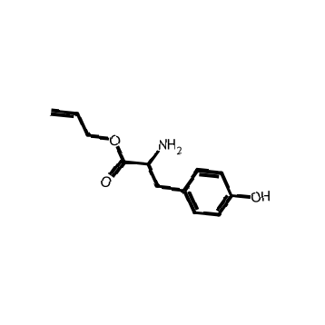 C=CCOC(=O)C(N)Cc1ccc(O)cc1